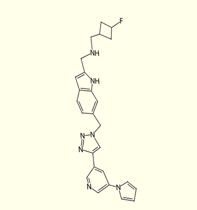 FC1CC(CNCc2cc3ccc(Cn4cc(-c5cncc(-n6cccc6)c5)nn4)cc3[nH]2)C1